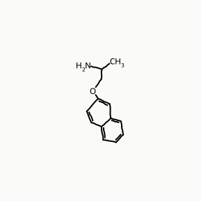 CC(N)COc1ccc2ccccc2c1